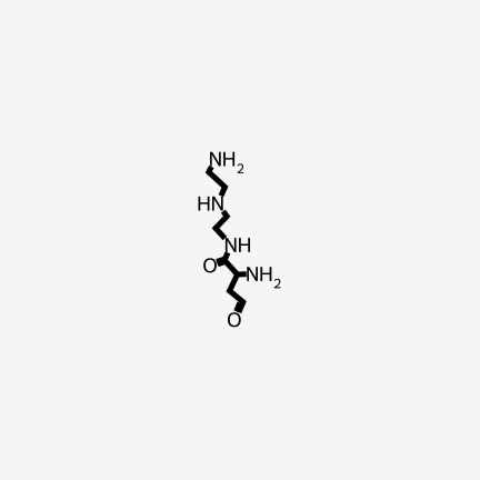 NCCNCCNC(=O)C(N)CC=O